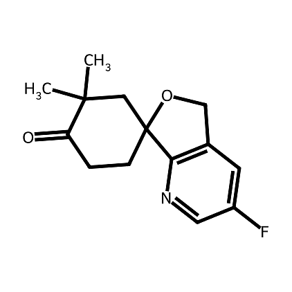 CC1(C)CC2(CCC1=O)OCc1cc(F)cnc12